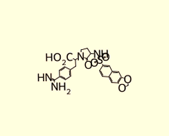 N=C(N)c1ccc(CC(C(=O)O)N2CCC(NS(=O)(=O)c3ccc4cc5c(cc4c3)OCO5)C2=O)cc1